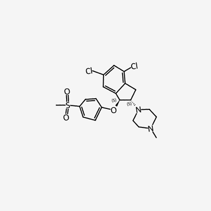 CN1CCN([C@H]2Cc3c(Cl)cc(Cl)cc3[C@@H]2Oc2ccc(S(C)(=O)=O)cc2)CC1